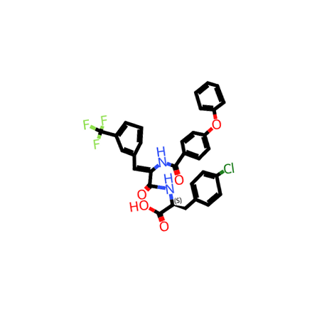 O=C(N[C@@H](Cc1ccc(Cl)cc1)C(=O)O)C(=Cc1cccc(C(F)(F)F)c1)NC(=O)c1ccc(Oc2ccccc2)cc1